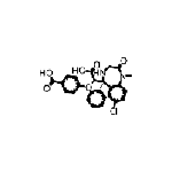 CN1C(=O)CN[C@](c2ccccc2)([C@H](Oc2ccc(C(=O)O)cc2)C(=O)O)c2cc(Cl)ccc21